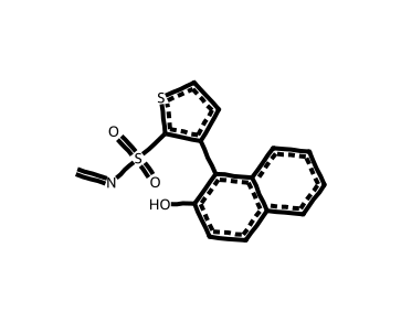 C=NS(=O)(=O)c1sccc1-c1c(O)ccc2ccccc12